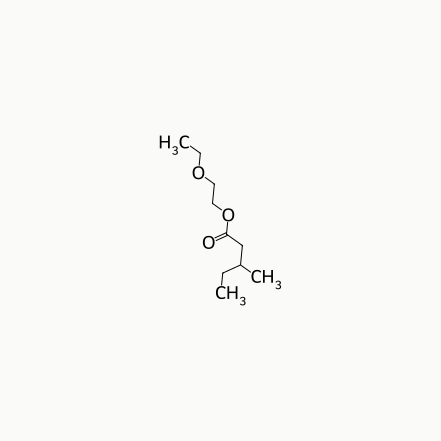 CCOCCOC(=O)CC(C)CC